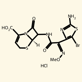 CO/N=C(\C(=O)NC1C(=O)N2C(C(=O)O)=CCS[C@H]12)c1nc(N)sc1Br.Cl